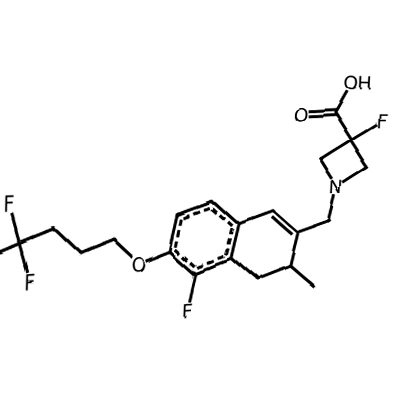 CC1Cc2c(ccc(OCCCC(F)(F)F)c2F)C=C1CN1CC(F)(C(=O)O)C1